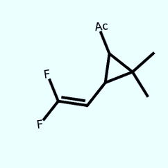 CC(=O)C1C(C=C(F)F)C1(C)C